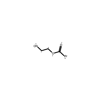 CC(C)C(=O)OCCN=O